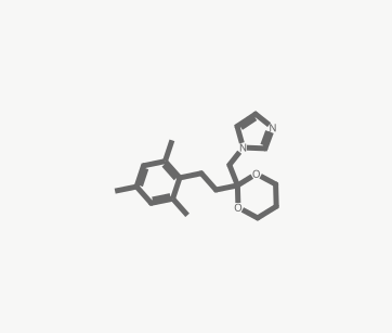 Cc1cc(C)c(CCC2(Cn3ccnc3)OCCCO2)c(C)c1